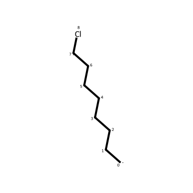 [CH2]CCCCCC[CH]Cl